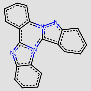 c1ccc2c(c1)nn1c3ccccc3c3nc4ccccc4n3c21